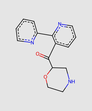 O=C(c1cccnc1-c1ccccn1)C1CNCCO1